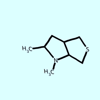 CC1CC2CSCC2N1C